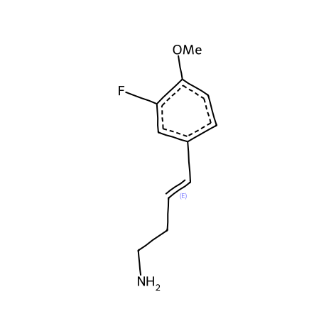 COc1ccc(/C=C/CCN)cc1F